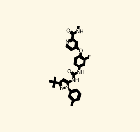 CNC(=O)c1cc(Oc2ccc(NC(=O)Nc3cc(C(C)(C)C)nn3-c3cccc(C)c3)cc2F)ccn1